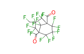 O=C(F)C12C(F)(F)C(F)(F)C(F)(F)C(C(=O)F)(C(F)(F)C(F)(CF)C1(F)F)C2(F)F